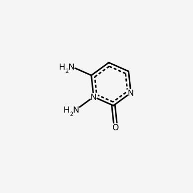 Nc1ccnc(=O)n1N